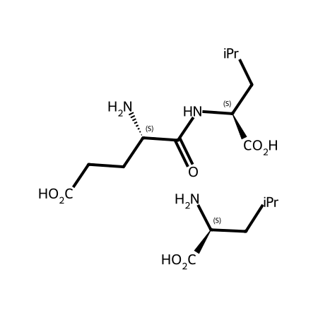 CC(C)C[C@H](N)C(=O)O.CC(C)C[C@H](NC(=O)[C@@H](N)CCC(=O)O)C(=O)O